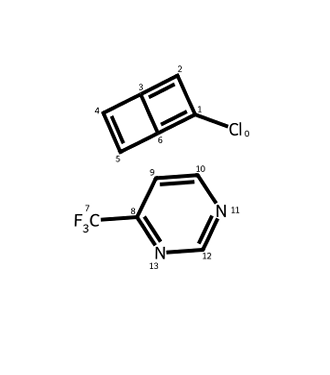 Clc1cc2ccc1-2.FC(F)(F)c1ccncn1